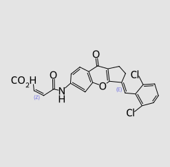 O=C(O)/C=C\C(=O)Nc1ccc2c(=O)c3c(oc2c1)/C(=C/c1c(Cl)cccc1Cl)CC3